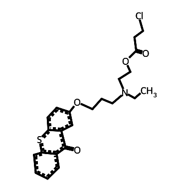 CCN(CCCOc1ccc2sc3ccccc3c(=O)c2c1)CCOC(=O)CCCl